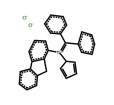 C1=C[CH]([Ti+2](=[C](c2ccccc2)c2ccccc2)[c]2cccc3c2Cc2ccccc2-3)C=C1.[Cl-].[Cl-]